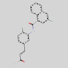 O=C(O)/C=C/c1ccc(F)c(NC(=O)c2cc(Br)cc3ccccc23)c1